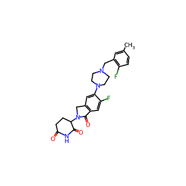 Cc1ccc(F)c(CN2CCN(c3cc4c(cc3F)C(=O)N(C3CCC(=O)NC3=O)C4)CC2)c1